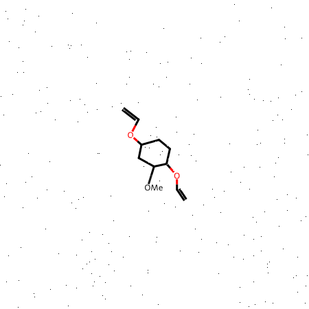 C=COC1CCC(OC=C)C(OC)C1